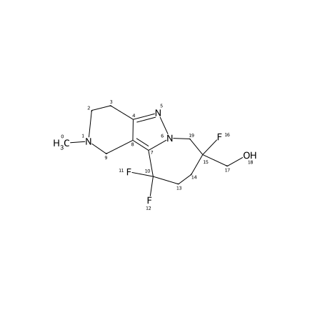 CN1CCc2nn3c(c2C1)C(F)(F)CCC(F)(CO)C3